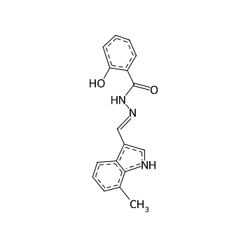 Cc1cccc2c(/C=N/NC(=O)c3ccccc3O)c[nH]c12